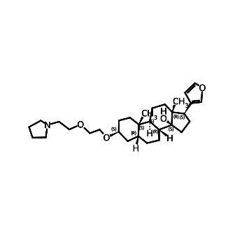 C[C@]12CC[C@H](OCCOCCN3CCCC3)C[C@H]1CC[C@@H]1[C@@H]2CC[C@]2(C)[C@@H](c3ccoc3)CC[C@]12O